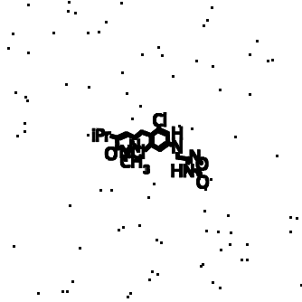 CC(C)c1cc(Cc2c(Cl)cc(NCc3noc(=O)[nH]3)cc2Cl)nn(C)c1=O